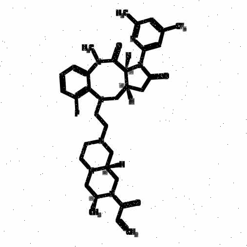 C=CC(=O)N1C[C@H]2CN(CCN3C[C@H]4CC(=O)N(c5cc(C(F)(F)F)cc(C)n5)[C@@H]4C(=O)N(C)c4cccc(F)c43)CCN2C[C@@H]1C